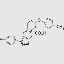 Cc1ccc(SC2CCC3=Cc4c(cnn4-c4ccc(F)cc4)C[C@]3(C(=O)O)C2)cc1